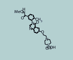 CONC(=O)c1ccc(C)c(-n2cnc3ccc(OCCN4CCS(O)(O)CC4)cc3c2=O)c1